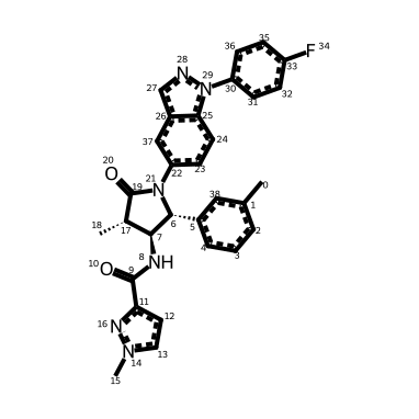 Cc1cccc([C@@H]2[C@@H](NC(=O)c3ccn(C)n3)[C@H](C)C(=O)N2c2ccc3c(cnn3-c3ccc(F)cc3)c2)c1